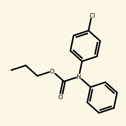 [CH2]CCOC(=O)N(c1ccccc1)c1ccc(Cl)cc1